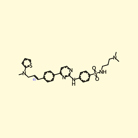 CN(C)CCCNS(=O)(=O)c1ccc(Nc2nccc(-c3ccc(/C=C/CN(C)c4cccs4)cc3)n2)cc1